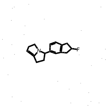 FC1Cc2ccc(C3CCC4=CCCN43)cc2C1